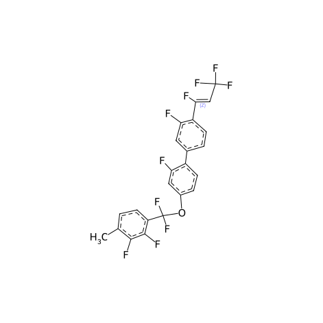 Cc1ccc(C(F)(F)Oc2ccc(-c3ccc(/C(F)=C/C(F)(F)F)c(F)c3)c(F)c2)c(F)c1F